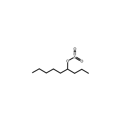 CCCCCC(CCC)O[SH](=O)=O